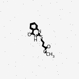 COC(=O)CCCSc1nc2ccccc2c(=O)[nH]1